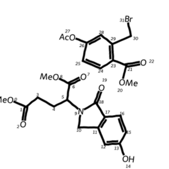 COC(=O)CCC(C(=O)OC)N1Cc2cc(O)ccc2C1=O.COC(=O)c1ccc(OC(C)=O)cc1CBr